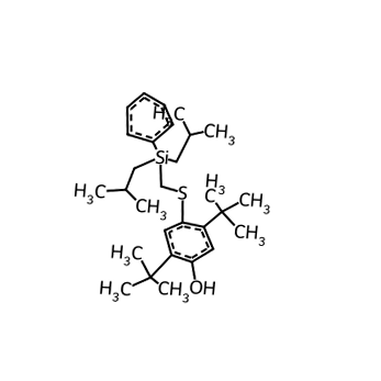 CC(C)C[Si](CSc1cc(C(C)(C)C)c(O)cc1C(C)(C)C)(CC(C)C)c1ccccc1